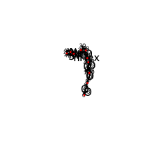 C=CC(=O)OCCCCCCOc1ccc(OC(=O)C2CCC(C(=O)Oc3ccc(C)cc3/C=N/N(CCCCCC)c3nc4ccccc4s3)CC2)cc1